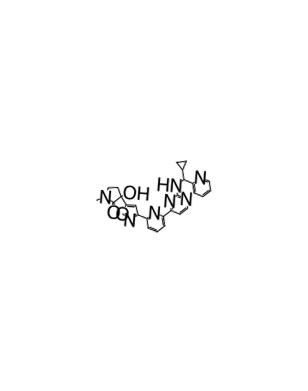 CN1CCC(O)(c2cc(-c3cccc(-c4ccnc(NC(c5ccccn5)C5CC5)n4)n3)no2)C1=O